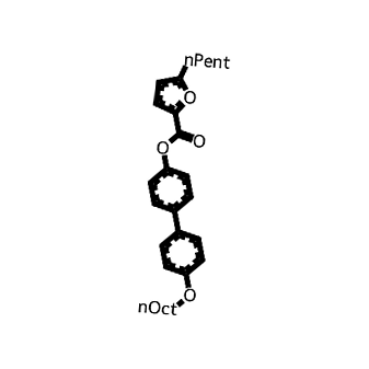 CCCCCCCCOc1ccc(-c2ccc(OC(=O)c3ccc(CCCCC)o3)cc2)cc1